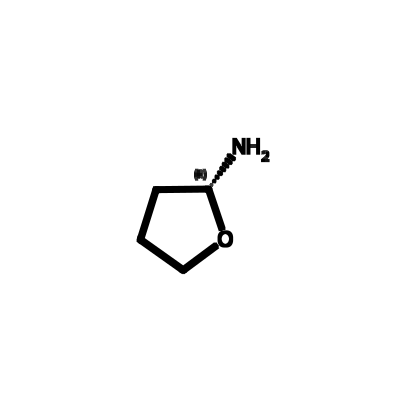 N[C@H]1CCCO1